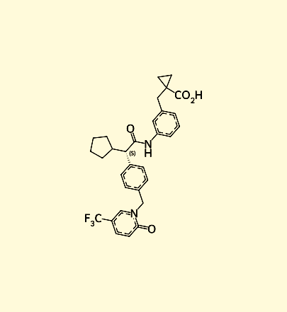 O=C(Nc1cccc(CC2(C(=O)O)CC2)c1)[C@H](c1ccc(Cn2cc(C(F)(F)F)ccc2=O)cc1)C1CCCC1